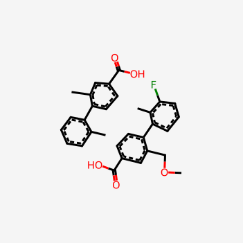 COCc1cc(C(=O)O)ccc1-c1cccc(F)c1C.Cc1ccccc1-c1ccc(C(=O)O)cc1C